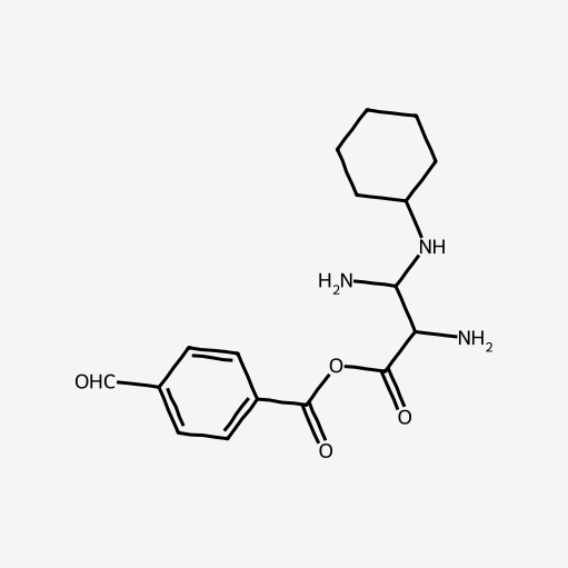 NC(NC1CCCCC1)C(N)C(=O)OC(=O)c1ccc(C=O)cc1